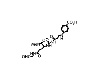 CNC(=O)C(CCC(=O)NCC=O)NC(=O)NC(=O)CCNc1ccc(C(=O)O)cc1